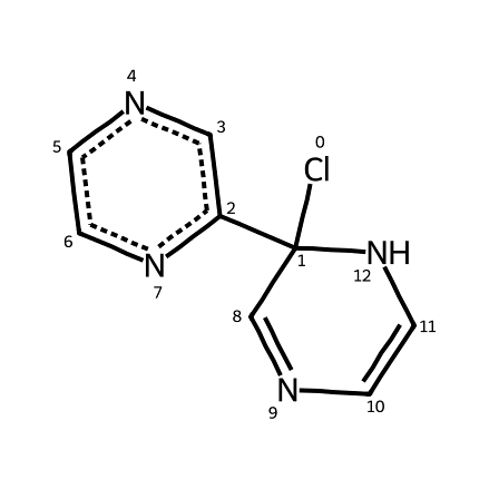 ClC1(c2cnccn2)C=NC=CN1